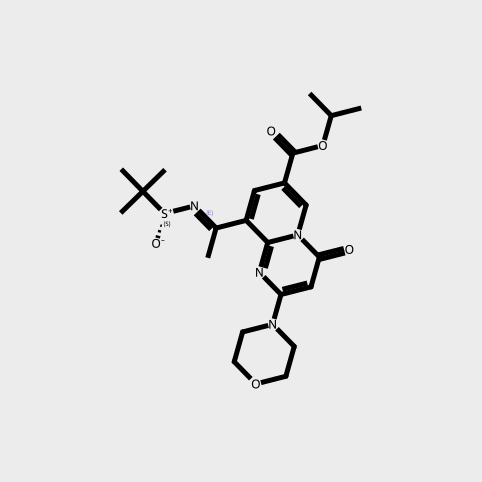 C/C(=N\[S@+]([O-])C(C)(C)C)c1cc(C(=O)OC(C)C)cn2c(=O)cc(N3CCOCC3)nc12